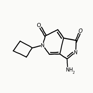 NC1=NC(=O)c2cc(=O)n(C3CCC3)cc21